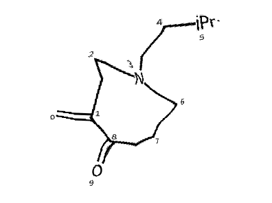 C=C1CN(C[C](C)C)CCC1=O